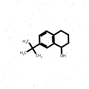 CC(C)(C)c1ccc2c(c1)C(O)CCC2